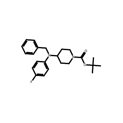 CC(C)(C)OC(=O)N1CCC(N(Cc2ccccc2)c2ccc(F)cc2)CC1